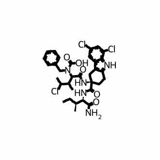 CC[C@H](C)[C@H](NC(=O)[C@@]1(NC(=O)C(C(C)C(C)Cl)N(Cc2ccccc2)C(=O)O)CCc2[nH]c3c(Cl)cc(Cl)cc3c2C1)C(N)=O